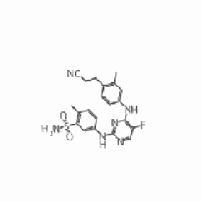 Cc1cc(Nc2nc(Nc3ccc(C)c(S(N)(=O)=O)c3)ncc2F)ccc1CCC#N